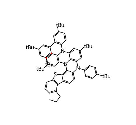 CC(C)(C)c1ccc(N2c3cc(C(C)(C)C)cc4c3B(c3cc(C(C)(C)C)ccc3N4c3ccc(C(C)(C)C)cc3-c3cc(C(C)(C)C)cc(C(C)(C)C)c3)c3c2ccc2c3sc3ccc4c(c32)CCC4)cc1